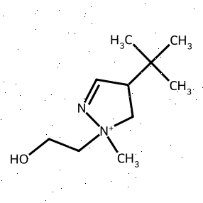 CC(C)(C)C1C=N[N+](C)(CCO)C1